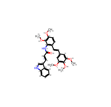 COc1cc(C=Cc2ccc(OC)c(OC)c2NC(=O)/C=C/c2c[nH]c3ccccc23)cc(OC)c1OC